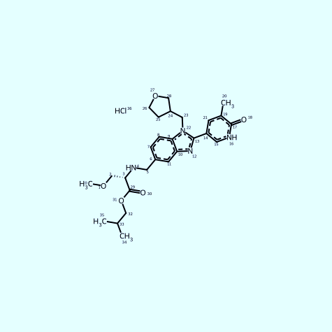 COC[C@H](NCc1ccc2c(c1)nc(-c1c[nH]c(=O)c(C)c1)n2CC1CCOC1)C(=O)OCC(C)C.Cl